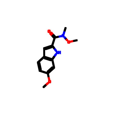 COc1ccc2cc(C(=O)N(C)OC)[nH]c2c1